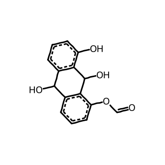 O=COc1cccc2c1C(O)c1c(O)cccc1C2O